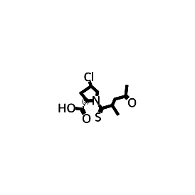 CC(=O)CC(C)C(=S)N1CC(Cl)C[C@H]1C(=O)O